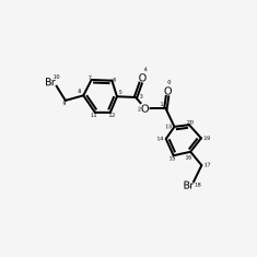 O=C(OC(=O)c1ccc(CBr)cc1)c1ccc(CBr)cc1